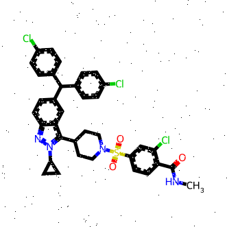 CNC(=O)c1ccc(S(=O)(=O)N2CCC(c3c4cc(C(c5ccc(Cl)cc5)c5ccc(Cl)cc5)ccc4nn3C3CC3)CC2)cc1Cl